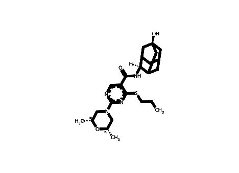 CCCSc1nc(N2C[C@@H](C)O[C@@H](C)C2)ncc1C(=O)N[C@H]1C2CC3CC1C[C@@](O)(C3)C2